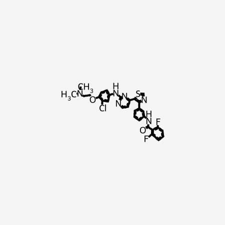 CN(C)CCOc1ccc(Nc2nccc(-c3scnc3-c3cccc(NC(=O)c4c(F)cccc4F)c3)n2)cc1Cl